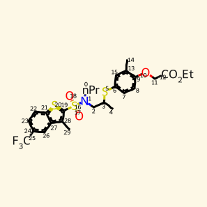 CCCN(CC(C)Sc1ccc(OCC(=O)OCC)c(C)c1)S(=O)(=O)c1sc2ccc(C(F)(F)F)cc2c1C